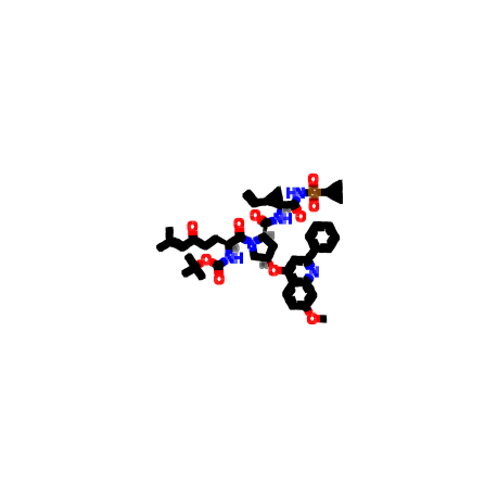 C=CC1C[C@]1(NC(=O)[C@@H]1C[C@@H](Oc2cc(-c3ccccc3)nc3cc(OC)ccc23)CN1C(=O)[C@H](CCC(=O)C=C(C)C)NC(=O)OC(C)(C)C)C(=O)NS(=O)(=O)C1CC1